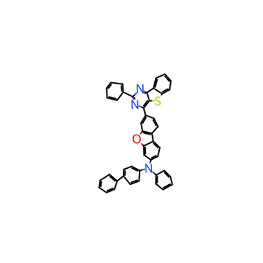 c1ccc(-c2ccc(N(c3ccccc3)c3ccc4c(c3)oc3cc(-c5nc(-c6ccccc6)nc6c5sc5ccccc56)ccc34)cc2)cc1